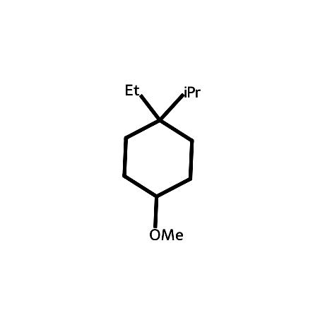 CCC1(C(C)C)CCC(OC)CC1